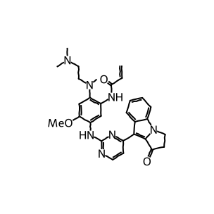 C=CC(=O)Nc1cc(Nc2nccc(-c3c4n(c5ccccc35)CCC4=O)n2)c(OC)cc1N(C)CCN(C)C